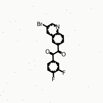 O=C(C(=O)c1ccc2ncc(Br)cc2c1)c1ccc(F)c(F)c1